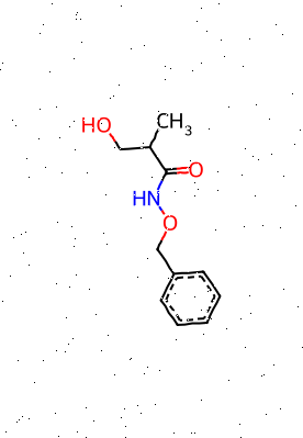 CC(CO)C(=O)NOCc1ccccc1